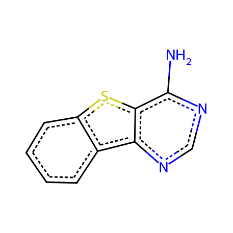 Nc1ncnc2c1sc1ccccc12